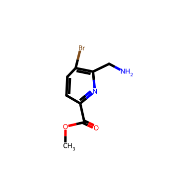 COC(=O)c1ccc(Br)c(CN)n1